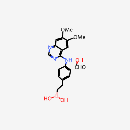 COc1cc2ncnc(Nc3ccc(CCB(O)O)cc3)c2cc1OC.O=CO